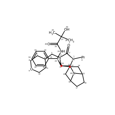 CC(C)N1C(=O)N(CC2CCOCC2)CC12CC1CCC(C2)N1CC[C@H](NC(=O)C(C)(C)O)c1ccccc1